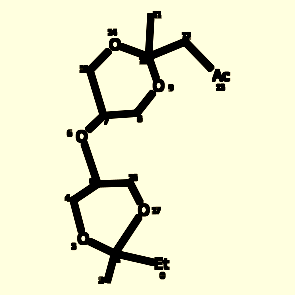 CCC1(C)OCC(OC2COC(C)(CC(C)=O)OC2)CO1